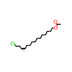 CC(=O)OCCCCCCCCCCC/C=C\CCCl